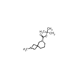 CN1CC2(CCCN(C(=O)OC(C)(C)C)C2)C1